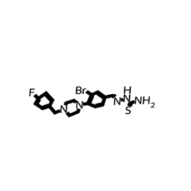 NC(=S)NN=Cc1ccc(N2CCN(Cc3ccc(F)cc3)CC2)c(Br)c1